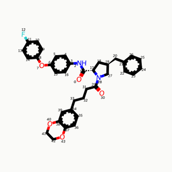 O=C(Nc1ccc(Oc2ccc(F)cc2)cc1)[C@@H]1C[C@@H](Cc2ccccc2)CN1C(=O)CCCc1ccc2c(c1)OCCO2